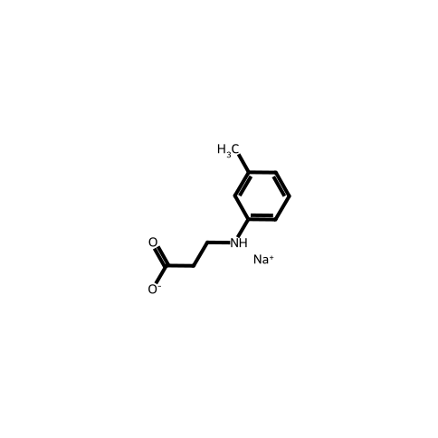 Cc1cccc(NCCC(=O)[O-])c1.[Na+]